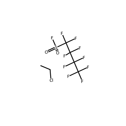 CCCl.O=S(=O)(F)C(F)(F)C(F)(F)C(F)(F)C(F)(F)F